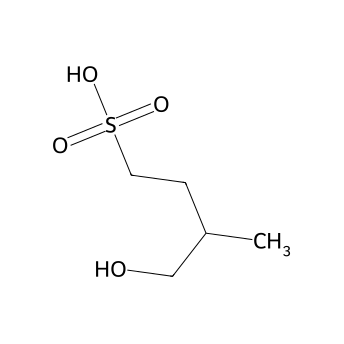 CC(CO)CCS(=O)(=O)O